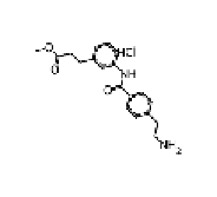 COC(=O)CCc1cccc(NC(=O)c2ccc(CCN)cc2)c1.Cl